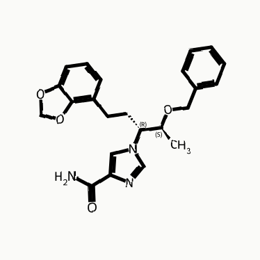 C[C@H](OCc1ccccc1)[C@@H](CCc1cccc2c1OCO2)n1cnc(C(N)=O)c1